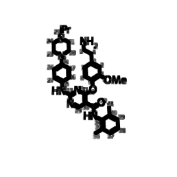 COc1cc(CCN)ccc1Oc1nc(Nc2ccc(N3CCN(C(C)C)CC3)cc2)ncc1C(=O)Nc1c(C)cccc1C